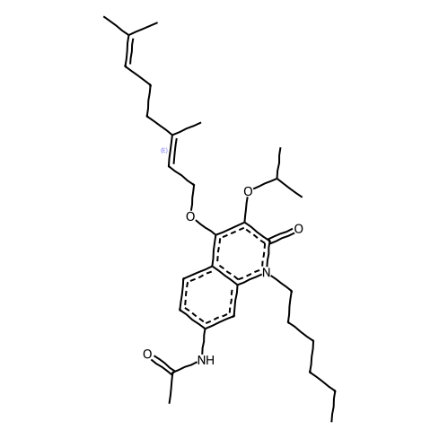 CCCCCCn1c(=O)c(OC(C)C)c(OC/C=C(\C)CCC=C(C)C)c2ccc(NC(C)=O)cc21